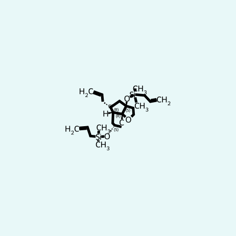 C=CC[C@@H]1C[C@]2(O[Si](C)(C)CC=C)CCO[C@@]23CC[C@H](O[Si](C)(C)CC=C)C[C@H]13